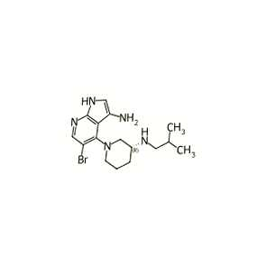 CC(C)CN[C@@H]1CCCN(c2c(Br)cnc3[nH]cc(N)c23)C1